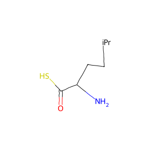 CC(C)CCC(N)C(=O)S